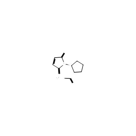 COC(=O)[C@H]1CCC[C@@H]1N1C(=O)C=CC1=O